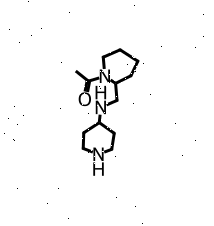 CC(=O)N1CCCCC1CNC1CCNCC1